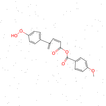 C=C(/C=C\C(=O)OC(=O)c1ccc(OC)cc1)c1ccc(OO)cc1